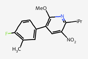 COc1nc(C(C)C)c([N+](=O)[O-])cc1-c1ccc(F)c(C)c1